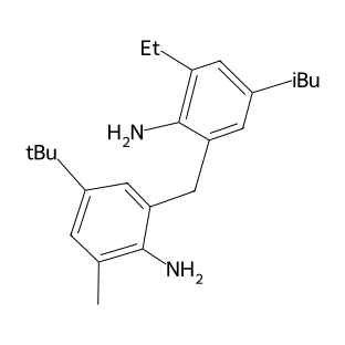 CCc1cc(C(C)CC)cc(Cc2cc(C(C)(C)C)cc(C)c2N)c1N